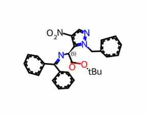 CC(C)(C)OC(=O)[C@@H](N=C(c1ccccc1)c1ccccc1)c1c([N+](=O)[O-])cnn1Cc1ccccc1